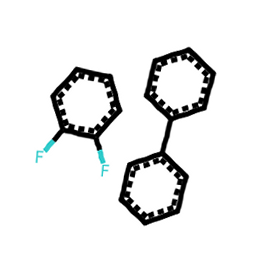 Fc1ccccc1F.c1ccc(-c2ccccc2)cc1